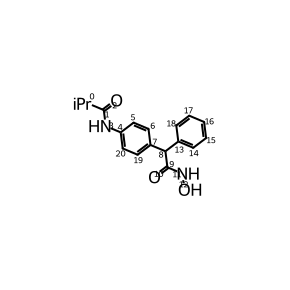 CC(C)C(=O)Nc1ccc(C(C(=O)NO)c2ccccc2)cc1